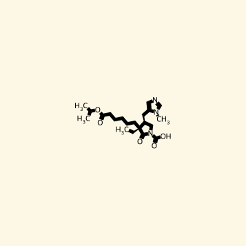 CC[C@]1(CCCCCC(=O)OC(C)C)C(=O)N(C(=O)O)C[C@@H]1Cc1cncn1C